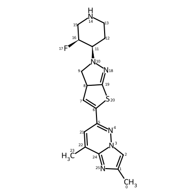 Cc1cn2nc(C3=CC4CN([C@@H]5CCNC[C@@H]5F)N=C4S3)cc(C)c2n1